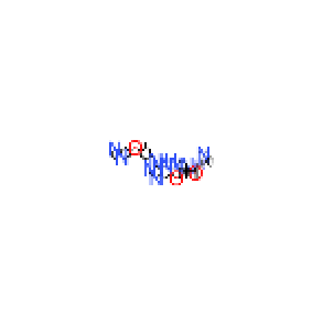 Cc1cc(Nc2ncnc3cc4c(nc23)N2CCN(C(=O)/C=C/[C@@H](C)N(C)C)[C@H](CO4)C2)ccc1Oc1ccn2ccnc2c1